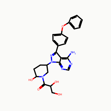 Nc1ncnc2c1c(-c1ccc(Oc3ccccc3)cc1)nn2C1CCC(O)N(C(=O)C(O)CO)C1